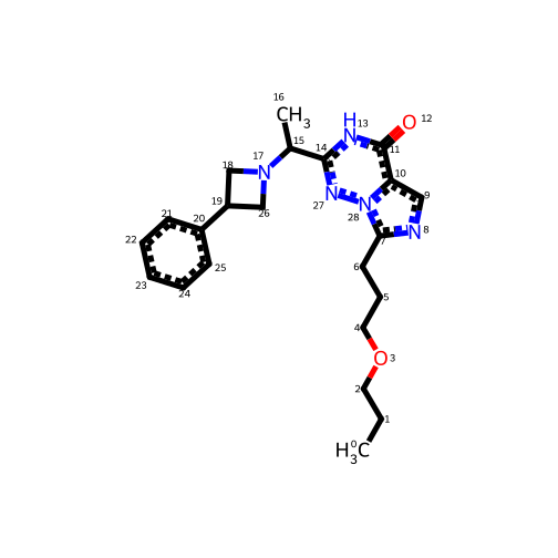 CCCOCCCc1ncc2c(=O)[nH]c(C(C)N3CC(c4ccccc4)C3)nn12